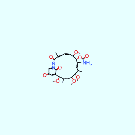 COC1/C=C\C=C(/C)C(=O)NC2=CC(=O)C=C(C2=O)C(OC)C(C)CC(OC)C(OC)C(C)/C=C(\C)C1OC(N)=O